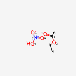 CCOC(C)=O.O=[N+]([O-])O